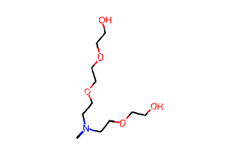 CN(CCOCCO)CCOCCOCCO